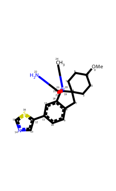 COC1CCC2(CC1)Cc1ccc(-c3cncs3)cc1C21N=C(N)N(C)O1